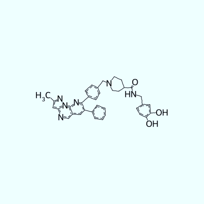 Cc1cc2ncc3cc(-c4ccccc4)c(-c4ccc(CN5CCC(C(=O)NCc6ccc(O)c(O)c6)CC5)cc4)nc3n2n1